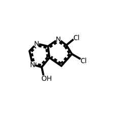 Oc1ncnc2nc(Cl)c(Cl)cc12